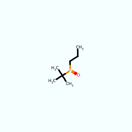 CCC[P](=O)C(C)(C)C